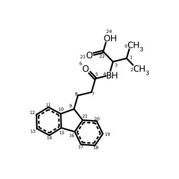 CC(C)C(BC(=O)CCC1c2ccccc2-c2ccccc21)C(=O)O